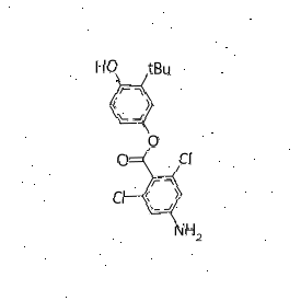 CC(C)(C)c1cc(OC(=O)c2c(Cl)cc(N)cc2Cl)ccc1O